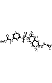 COC(=O)Nc1ccnc(NC(C)c2cc3cc(Cl)c(OCC4CC4)cc3[nH]c2=O)c1